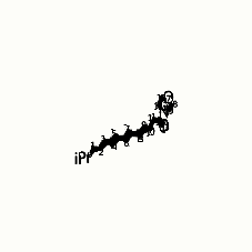 CC(C)CCCCCCCCCCCC(=O)N1CCOCC1